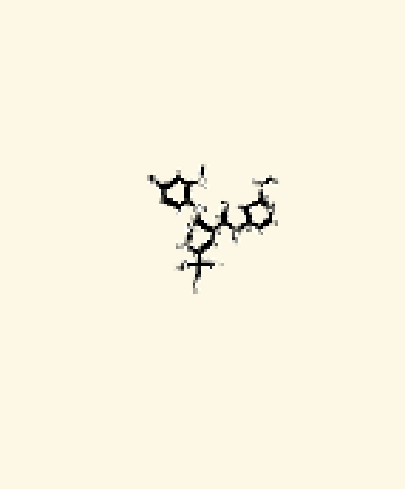 COc1cc(F)ccc1Oc1nnc(C(F)(F)F)cc1C(=O)Nc1ccnc(SC)c1